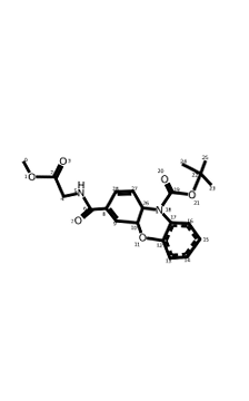 COC(=O)CNC(=O)C1=CC2Oc3ccccc3N(C(=O)OC(C)(C)C)C2C=C1